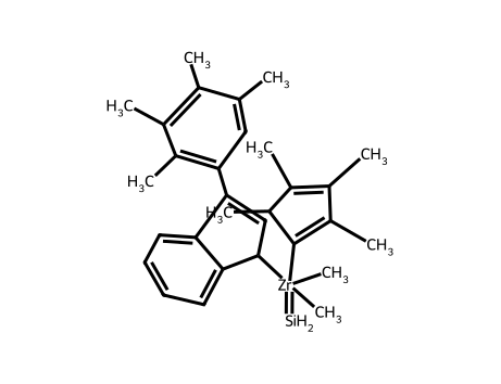 CC1=C(C)C(C)[C]([Zr]([CH3])([CH3])(=[SiH2])[CH]2C=C(c3cc(C)c(C)c(C)c3C)c3ccccc32)=C1C